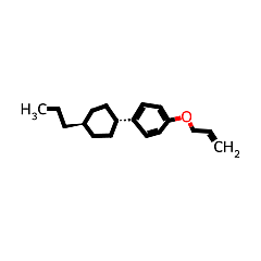 C=CCOc1ccc([C@H]2CC[C@H](CCC)CC2)cc1